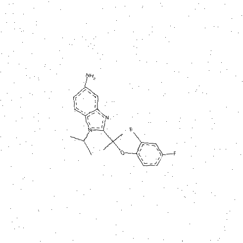 CC(C)n1c(C(C)(C)Oc2ccc(F)cc2F)nc2cc(N)ccc21